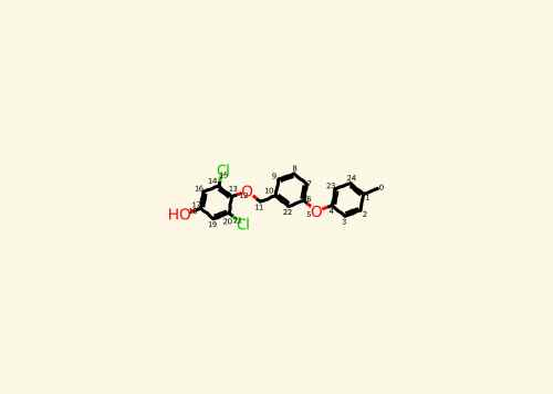 Cc1ccc(Oc2cccc(COc3c(Cl)cc(O)cc3Cl)c2)cc1